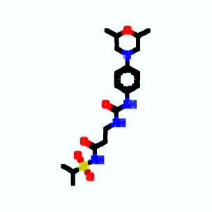 CC1CN(c2ccc(NC(=O)NCCC(=O)NS(=O)(=O)C(C)C)cc2)CC(C)O1